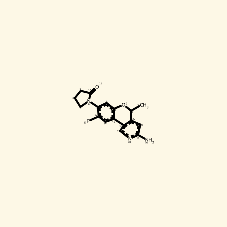 CC1Oc2cc(N3CCCC3=O)c(F)cc2-c2cnc(N)cc21